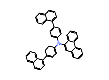 C1=C(c2cccc3ccccc23)CCC(N(c2ccc(-c3cccc4ccccc34)cc2)c2cc3ccccc3c3ccccc23)=C1